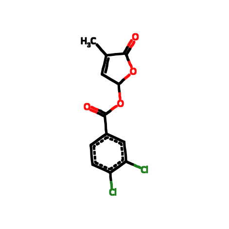 CC1=CC(OC(=O)c2ccc(Cl)c(Cl)c2)OC1=O